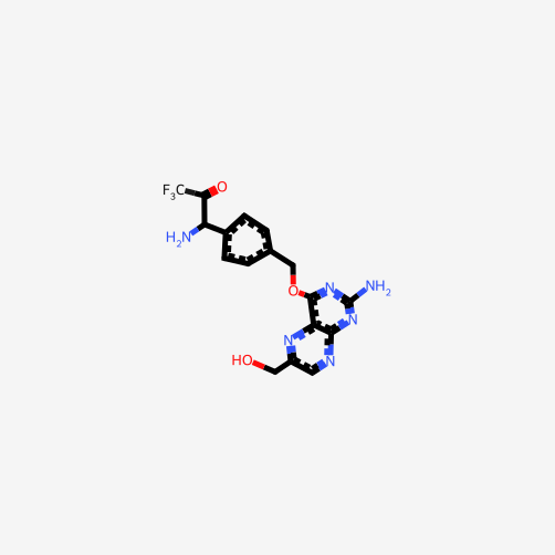 Nc1nc(OCc2ccc(C(N)C(=O)C(F)(F)F)cc2)c2nc(CO)cnc2n1